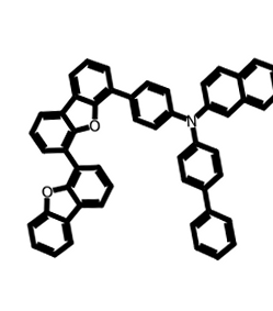 c1ccc(-c2ccc(N(c3ccc(-c4cccc5c4oc4c(-c6cccc7c6oc6ccccc67)cccc45)cc3)c3ccc4ccccc4c3)cc2)cc1